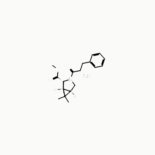 COC(=O)[C@@H]1[C@@H]2[C@H](CN1C(=O)[C@@H](N)Cc1ccccc1)C2(C)C